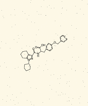 O=C(NC(Cc1ccc(OCc2ccccc2)cc1)C(=O)O)c1nn(C2CCCCC2)c2c1CCCC2